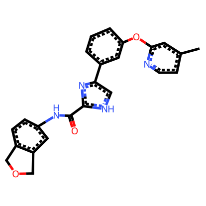 Cc1ccnc(Oc2cccc(-c3c[nH]c(C(=O)Nc4ccc5c(c4)COC5)n3)c2)c1